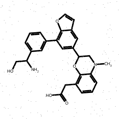 CN1CC(c2cc(-c3cccc(C(N)CO)c3)c3occc3c2)Oc2c(CC(=O)O)cccc21